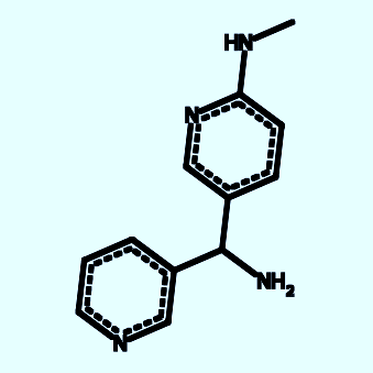 CNc1ccc(C(N)c2cccnc2)cn1